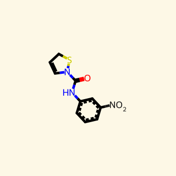 O=C(Nc1cccc([N+](=O)[O-])c1)N1C=CCS1